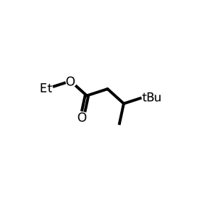 CCOC(=O)CC(C)C(C)(C)C